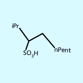 [CH2]C(C)C(CCCCCC)S(=O)(=O)O